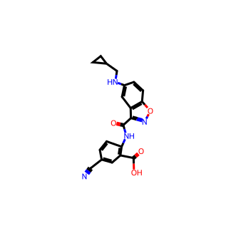 N#Cc1ccc(NC(=O)c2noc3ccc(NCC4CC4)cc23)c(C(=O)O)c1